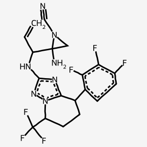 C=CC(Nc1nc2n(n1)C(C(F)(F)F)CCC2c1ccc(F)c(F)c1F)C1(N)CN1C#N